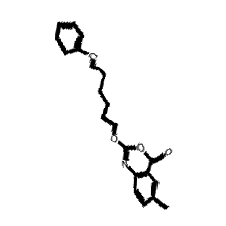 Cc1ccc2nc(OCCCCCCOc3ccccc3)oc(=O)c2c1